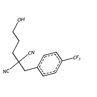 N#CC(C#N)(CCCO)Cc1ccc(C(F)(F)F)cc1